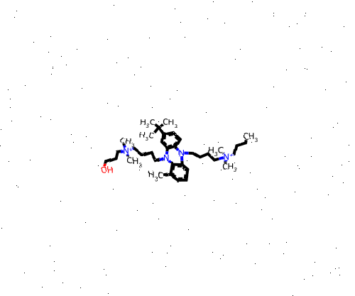 CCCC[N+](C)(C)CCCCN1c2ccc(C(C)(C)C)cc2N(CCCC[N+](C)(C)CCCO)c2c(C)cccc21